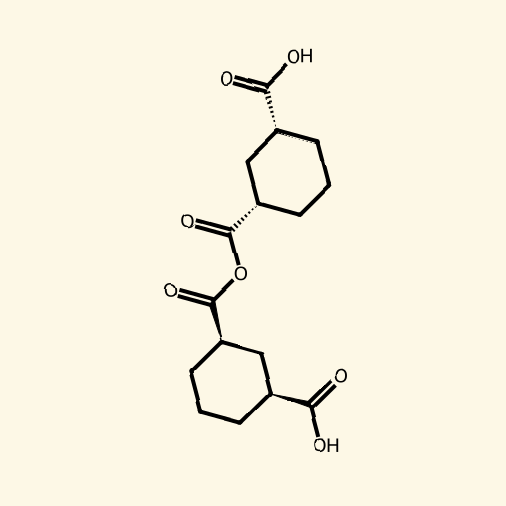 O=C(O)[C@@H]1CCC[C@H](C(=O)OC(=O)[C@@H]2CCC[C@H](C(=O)O)C2)C1